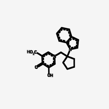 O=C(O)c1cn(CC2(n3ccc4ccccc43)CCCC2)cc(O)c1=O